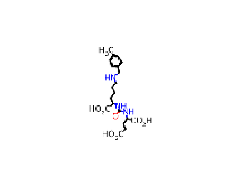 Cc1ccc(CNCCCCC(NC(=O)NC(CCC(=O)O)C(=O)O)C(=O)O)cc1